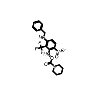 O=C(ONc1c([N+](=O)[O-])ccc(NCc2ccccc2)c1C(F)(F)F)N1CCCCC1